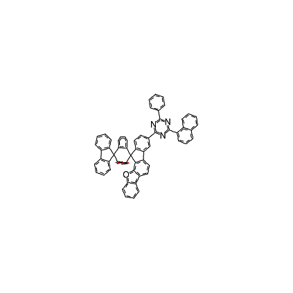 c1ccc(-c2nc(-c3ccc4c(c3)-c3ccc5c(oc6ccccc65)c3C43c4ccccc4C4(c5ccccc5-c5ccccc54)c4ccccc43)nc(-c3cccc4ccccc34)n2)cc1